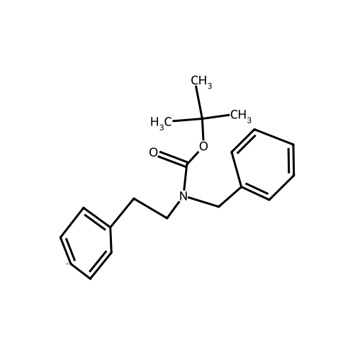 CC(C)(C)OC(=O)N(CCc1cc[c]cc1)Cc1ccccc1